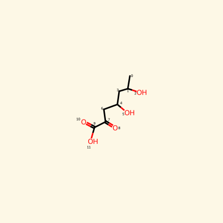 CC(O)CC(O)CC(=O)C(=O)O